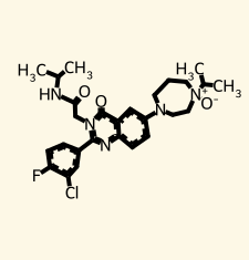 CC(C)NC(=O)Cn1c(-c2ccc(F)c(Cl)c2)nc2ccc(N3CCC[N+]([O-])(C(C)C)CC3)cc2c1=O